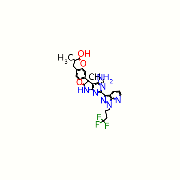 CC(Cc1ccc([C@]2(C)C(=O)Nc3nc(-c4nn(CCCC(F)(F)F)c5ncccc45)nc(N)c32)cc1)C(=O)O